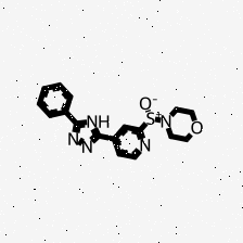 [O-][S+](c1cc(-c2nnc(-c3ccccc3)[nH]2)ccn1)N1CCOCC1